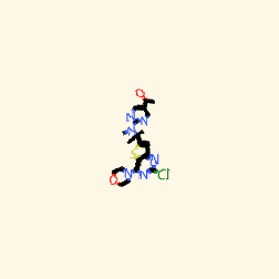 CC(=O)c1cnc(N(C)C(C)(C)c2cc3nc(Cl)nc(N4CCOCC4)c3s2)nc1